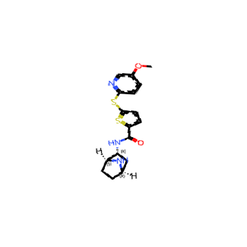 COc1ccc(Sc2ccc(C(=O)N[C@@H]3C[C@H]4CC[C@@H]3N4)s2)nc1